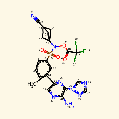 Cc1ccc(S(=O)(=O)N(OC(=O)C(F)(F)F)C23CC(C#N)(C2)C3)cc1-c1cnc(N)c(-n2cncn2)n1